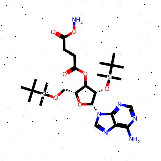 CC(C)(C)[Si](C)(C)OC[C@H]1O[C@@H](n2cnc3c(N)ncnc32)[C@@H](O[Si](C)(C)C(C)(C)C)C1OC(=O)CCC(=O)ON